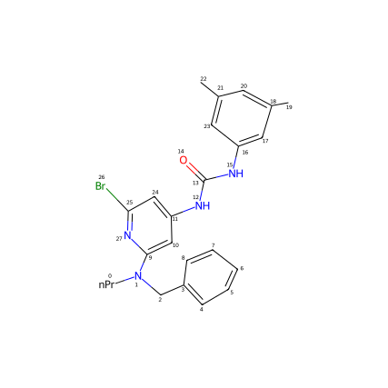 CCCN(Cc1ccccc1)c1cc(NC(=O)Nc2cc(C)cc(C)c2)cc(Br)n1